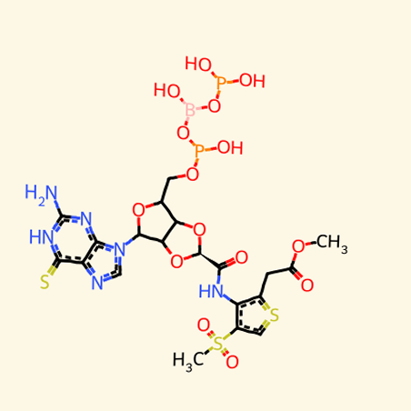 COC(=O)Cc1scc(S(C)(=O)=O)c1NC(=O)[C@@H]1OC2C(COP(O)OB(O)OP(O)O)OC(n3cnc4c(=S)[nH]c(N)nc43)C2O1